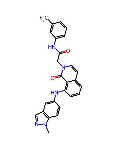 Cn1ncc2cc(Nc3cccc4ccn(CC(=O)Nc5cccc(C(F)(F)F)c5)c(=O)c34)ccc21